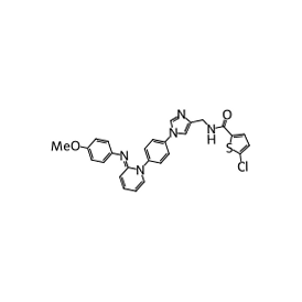 COc1ccc(N=c2ccccn2-c2ccc(-n3cnc(CNC(=O)c4ccc(Cl)s4)c3)cc2)cc1